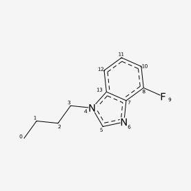 CCCCn1cnc2c(F)cccc21